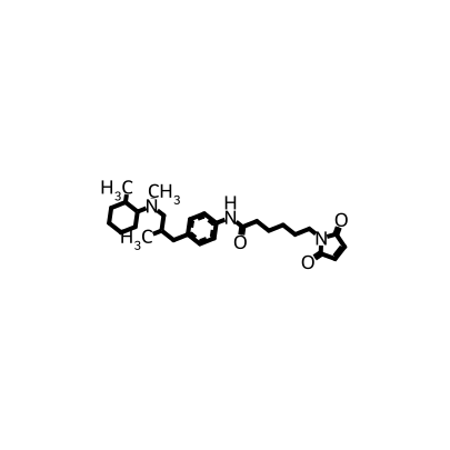 CC(Cc1ccc(NC(=O)CCCCCN2C(=O)C=CC2=O)cc1)CN(C)C1CCCCC1C